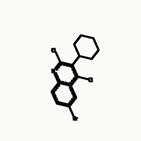 Clc1nc2ccc(Br)cc2c(Cl)c1C1CCCCC1